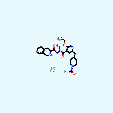 CCOc1cnc(CC2CCN(C(C)=O)CC2)cc1C(=O)NCC(O)C1Cc2ccccc2CN1.Cl.Cl